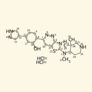 CN(c1nc2nnc(-c3ccc(-c4cn[nH]c4)cc3O)cc2s1)C1CCNCC1(C)C.Cl.Cl